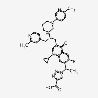 Cc1ccc(N2CCC[C@H](N(Cc3ccnc(C)c3)Cc3cn(C4CC4)c4cc(C(C)n5cc(C(=O)O)nn5)c(F)cc4c3=O)C2)cn1